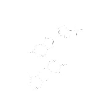 Cc1cccc(C)c1Oc1cn(C)c(=O)cc1C1=CN(C)Cc2[nH]c(-c3ncc(C(F)(F)F)[nH]3)cc21